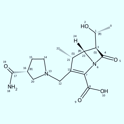 C[C@@H](O)[C@H]1C(=O)N2C(C(=O)O)=C(CN3CC[C@@H](C(N)=O)C3)[C@H](C)[C@H]12